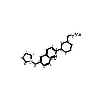 COCC1CCCC(c2ccc3cc(CN4CCCC4)ccc3n2)C1